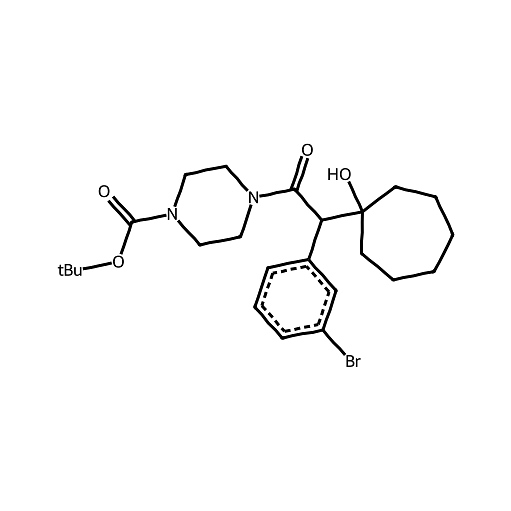 CC(C)(C)OC(=O)N1CCN(C(=O)C(c2cccc(Br)c2)C2(O)CCCCCC2)CC1